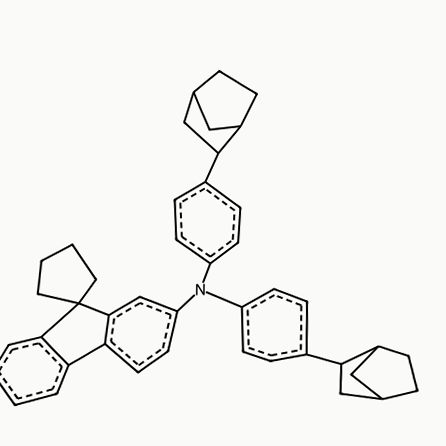 c1ccc2c(c1)-c1ccc(N(c3ccc(C4CC5CCC4C5)cc3)c3ccc(C4CC5CCC4C5)cc3)cc1C21CCCC1